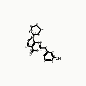 N#Cc1cccc(Cc2nc3c(cnn3C3CCCCO3)c(=O)[nH]2)c1